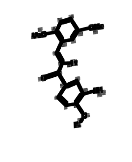 CCOc1ccc(C(=O)/C(=C/c2cc(OC)ccc2OC)CC)cc1N